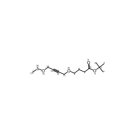 CC(C)(C)OC(=O)CCCOCC#CCOSI